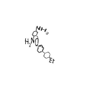 CCC1CCC(c2ccc(OCc3cc(N)ccc3N)cc2)CC1